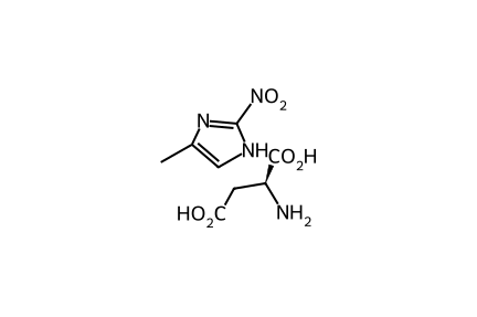 Cc1c[nH]c([N+](=O)[O-])n1.N[C@@H](CC(=O)O)C(=O)O